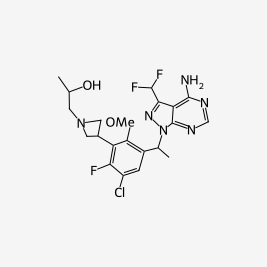 COc1c(C(C)n2nc(C(F)F)c3c(N)ncnc32)cc(Cl)c(F)c1C1CN(CC(C)O)C1